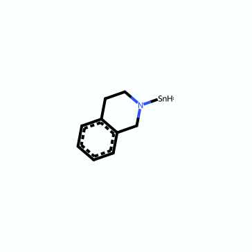 [SnH][N]1CCc2ccccc2C1